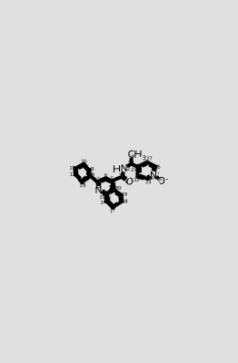 CC(NC(=O)c1cc(-c2ccccc2)nc2ccccc12)c1cc[n+]([O-])cc1